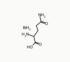 NC(=O)CCC(N)C(=O)O.[BiH3]